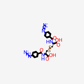 [N-]=[N+]=Nc1ccc(C(=O)N[C@@H](CSSC[C@H](NC(=O)c2ccc(N=[N+]=[N-])cc2)C(=O)O)C(=O)O)cc1